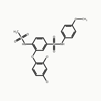 COc1ccc(NS(=O)(=O)c2ccc(NS(C)(=O)=O)c(Oc3ccc(Cl)cc3Cl)c2)cc1